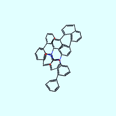 c1ccc(-c2cccc(N(c3ccccc3)c3ccc(-c4cccc5cccc(-c6ccc(N(c7ccccc7)c7ccccc7-c7ccccc7)cc6)c45)cc3)c2)cc1